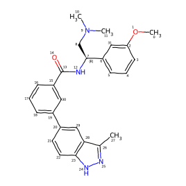 COc1cccc([C@H](CN(C)C)NC(=O)c2cccc(-c3ccc4[nH]nc(C)c4c3)c2)c1